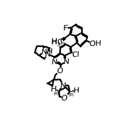 C#Cc1c(F)ccc2cc(O)cc(-c3c(C)cc4c(N5CC6CCC(C5)N6)nc(OCC5(CN6C[C@H]7C[C@@H]6CO7)CC5)nc4c3Cl)c12